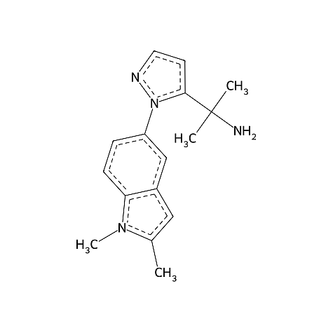 Cc1cc2cc(-n3nccc3C(C)(C)N)ccc2n1C